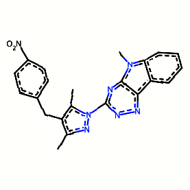 Cc1nn(-c2nnc3c4ccccc4n(C)c3n2)c(C)c1Cc1ccc([N+](=O)[O-])cc1